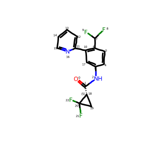 O=C(Nc1ccc(C(F)F)c(-c2ccccn2)c1)[C@@H]1CC1(F)F